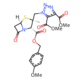 COC(=O)c1nnn(C[C@]2(C)S[C@@H]3CC(=O)N3[C@H]2C(=O)OCc2ccc(OC)cc2)c1C(=O)OC